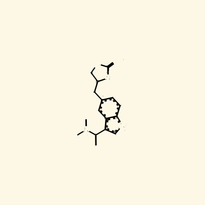 CC(c1c[nH]c2ccc(CC3COC(=O)N3)cc12)N(C)C